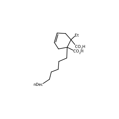 CCCCCCCCCCCCCCCC1(C(=O)O)CC=CCC1(CC)C(=O)O